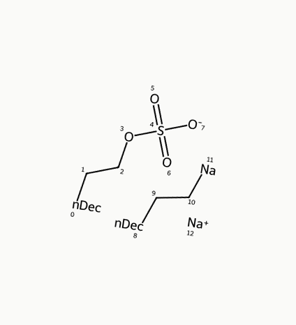 CCCCCCCCCCCCOS(=O)(=O)[O-].CCCCCCCCCCC[CH2][Na].[Na+]